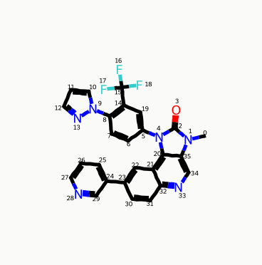 Cn1c(=O)n(-c2ccc(-n3cccn3)c(C(F)(F)F)c2)c2c3cc(-c4cccnc4)ccc3ncc21